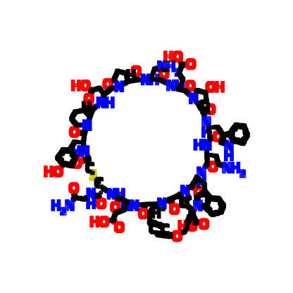 CN1C(=O)[C@H](Cc2cn(CC(=O)O)c3ccccc23)NC(=O)[C@H](CCN)NC(=O)[C@H](Cc2c[nH]c3ccccc23)NC(=O)[C@@H]2C[C@@H](O)CN2C(=O)[C@H](CCC(=O)O)NC(=O)[C@H](CN)NC(=O)[C@@H]2CCCN2C(=O)[C@H](CC(=O)O)NC(=O)[C@@H]2CCCCN2C(=O)[C@H](Cc2ccc(O)cc2)NC(=O)CSC[C@@H](C(=O)NCC(N)=O)NC(=O)[C@H](CCC(=O)O)NC(=O)[C@@H]2Cc3ccc(cc3)OC/C=C\CC[C@H]1C(=O)N2C